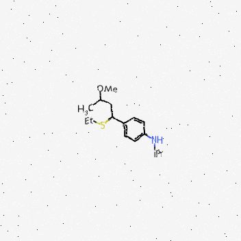 CCSC(CC(C)OC)c1ccc(NC(C)C)cc1